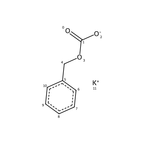 O=C([O-])OCc1ccccc1.[K+]